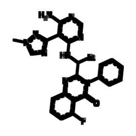 CCC(Nc1ncnc(N)c1-c1ncn(C)n1)c1nc2cccc(F)c2c(=O)n1-c1ccccc1